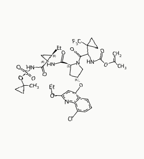 C=C(C)OC(=O)NC(C(=O)N1C[C@H](Oc2cc(OCC)nc3c(Cl)cccc23)C[C@H]1C(=O)N[C@]1(C(=O)NS(=O)(=O)OC2(C)CC2)C[C@H]1CC)C1(C(F)(F)F)CC1